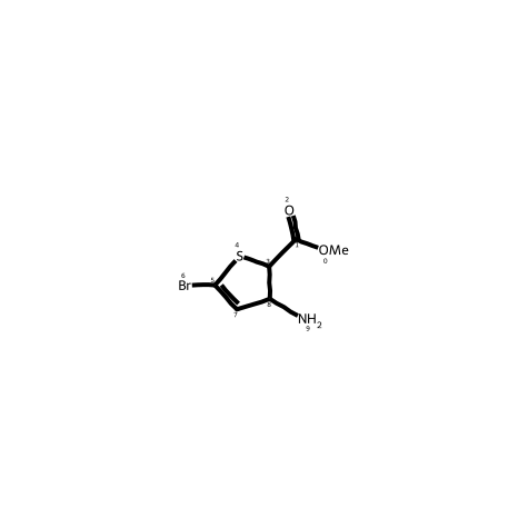 COC(=O)C1SC(Br)=CC1N